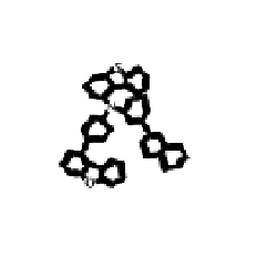 c1cc(-c2ccc3ccccc3c2)cc(N(c2ccc(-c3cccc4oc5ccccc5c34)cc2)c2cccc3sc4ccccc4c23)c1